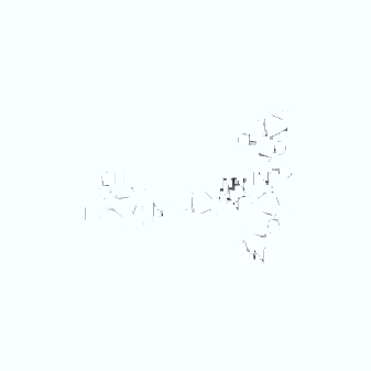 COc1cc2c(cc1C)CCN(CCc1ccc(-n3nnc(-c4cc(Oc5cccnc5)ccc4NC(=O)c4cc(=O)c5ccccc5o4)n3)cc1)C2